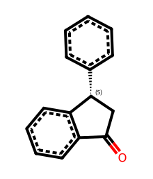 O=C1C[C@@H](c2ccccc2)c2ccccc21